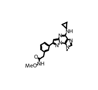 CONC(=O)Cc1cccc(-c2cc3nc(NC4CC4)c4ncn(C)c4n3n2)c1